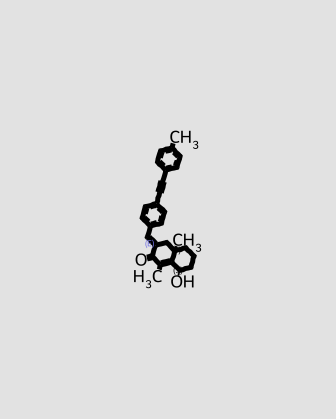 CC1=C2[C@@H](O)CCC[C@@]2(C)C/C(=C\c2ccc(C#Cc3ccc(C)cc3)cc2)C1=O